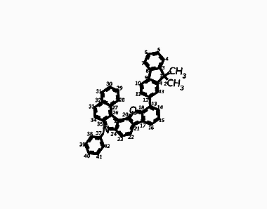 CC1(C)c2ccccc2-c2ccc(-c3cccc4c3oc3c4ccc4c3c3c5ccccc5ccc3n4-c3ccccc3)cc21